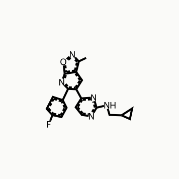 Cc1noc2nc(-c3ccc(F)cc3)c(-c3ccnc(NCC4CC4)n3)cc12